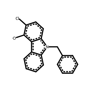 [O]c1c(Cl)ccc2c1c1ccccc1n2Cc1ccccc1